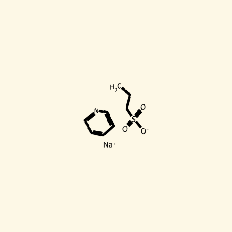 CCCS(=O)(=O)[O-].[Na+].c1ccncc1